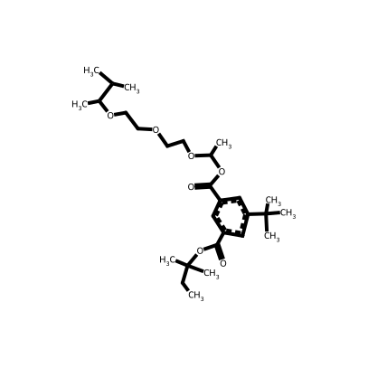 CCC(C)(C)OC(=O)c1cc(C(=O)OC(C)OCCOCCOC(C)C(C)C)cc(C(C)(C)C)c1